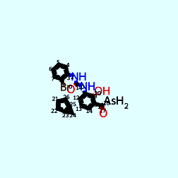 O=C(Nc1ccccc1Br)Nc1cccc(C(=O)[AsH2])c1O.c1cc2cc-2c1